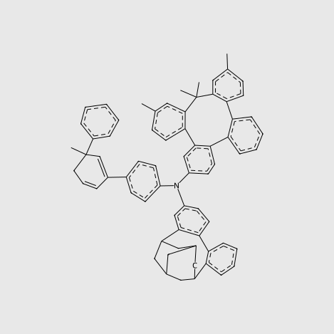 Cc1ccc2c(c1)C(C)(C)c1cc(C)ccc1-c1cc(N(c3ccc(C4=CC(C)(c5ccccc5)CC=C4)cc3)c3ccc4c(c3)C3CC5CC(CC(C5)c5ccccc5-4)C3)ccc1-c1ccccc1-2